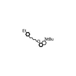 CCc1ccc(CCCCCOc2cccc3c2CC(N(C)C(C)(C)C)CC3)cc1